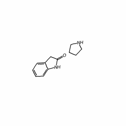 C1CCNC1.O=C1Cc2ccccc2N1